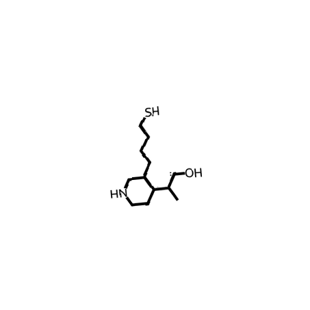 CC([C]O)C1CCNCC1CCCCS